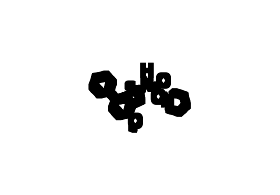 COc1ccc(-c2ccccc2)c2sc(NC(=O)ON3CCCCC3)cc12